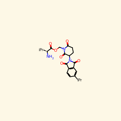 CC(C)c1ccc2c(c1)C(=O)N(C1CCC(=O)N(COC(=O)[C@@H](N)C(C)C)C1=O)C2=O